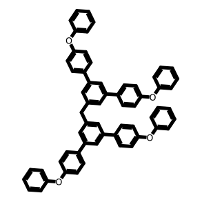 c1ccc(Oc2ccc(-c3cc(Cc4cc(-c5ccc(Oc6ccccc6)cc5)cc(-c5ccc(Oc6ccccc6)cc5)c4)cc(-c4ccc(Oc5ccccc5)cc4)c3)cc2)cc1